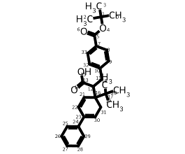 CC(C)(C)OC(=O)c1ccc(CC(C(=O)O)C2(C(C)(C)C)C=CC(c3ccccc3)=CC2)cc1